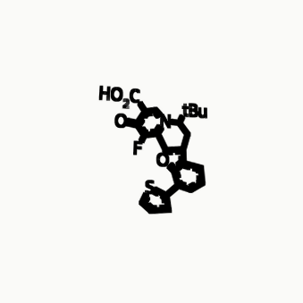 CC(C)(C)C1Cc2c(oc3c(-c4cccs4)cccc23)-c2c(F)c(=O)c(C(=O)O)cn21